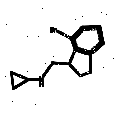 Brc1cccc2c1C(CNC1CC1)CC2